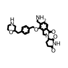 NCc1ccc2c(c1OCc1ccc(CC3CNCCO3)cc1)CN(C1CCC(=O)NC1=O)C2=O